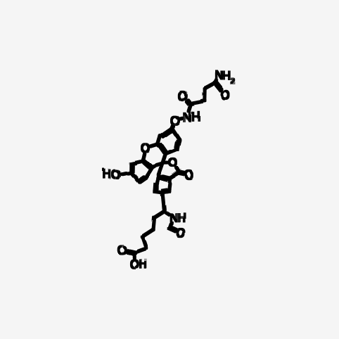 NC(=O)CCC(=O)NOc1ccc2c(c1)Oc1cc(O)ccc1C21OC(=O)c2cc(C(CCCCC(=O)O)NC=O)ccc21